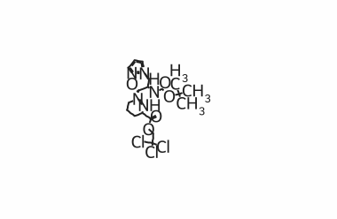 CC(C)(C)OC(=O)NC(Cn1cccn1)C(=O)N1CCCC(C(=O)OCC(Cl)(Cl)Cl)N1